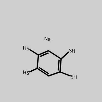 Sc1cc(S)c(S)cc1S.[Na]